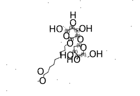 COC(=O)CCCCCCCCO[C@H]1O[C@H](CO)[C@@H](O)[C@H](O)[C@H]1O[C@H]1C[C@@H](O)[C@H](O)[C@@H](CO)O1